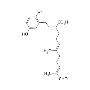 C/C(C=O)=C\CC/C(C)=C/CC/C(=C/Cc1cc(O)ccc1O)C(=O)O